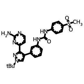 CC(C)(C)n1cc(-c2cccc(NC(=O)Nc3ccc(S(C)(=O)=O)cc3)c2)c(-c2ccnc(N)n2)n1